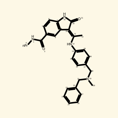 CCCNC(=O)c1ccc2c(c1)C(=C(C)Nc1ccc(CN(C)Cc3ccccc3)cc1)C(=O)N2